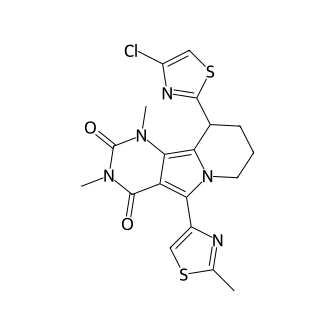 Cc1nc(-c2c3c(=O)n(C)c(=O)n(C)c3c3n2CCCC3c2nc(Cl)cs2)cs1